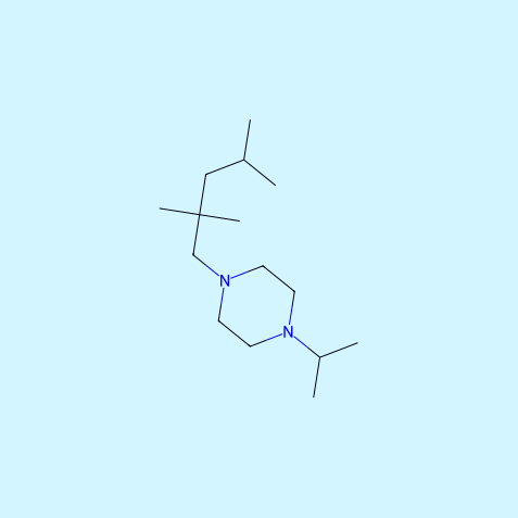 CC(C)CC(C)(C)CN1CCN(C(C)C)CC1